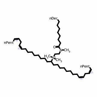 CCCCC/C=C\C/C=C\CCCCCCCCC(CCCCCCCC/C=C\C/C=C\CCCCC)[N+](C)(C)CCN(C)C(=O)CCCCCCCCCCCCCCCCC